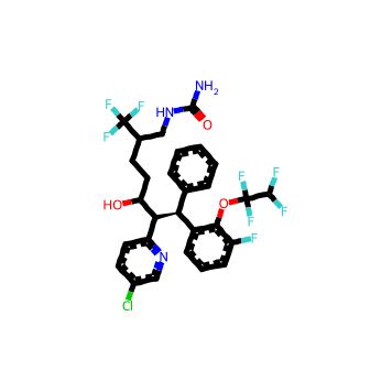 NC(=O)NCC(CCC(O)C(c1ccc(Cl)cn1)[C@@H](c1ccccc1)c1cccc(F)c1OC(F)(F)C(F)F)C(F)(F)F